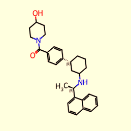 C[C@@H](NC1CCC[C@@H](c2ccc(C(=O)N3CCC(O)CC3)cc2)C1)c1cccc2ccccc12